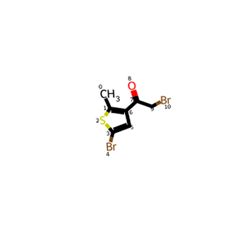 Cc1sc(Br)cc1C(=O)CBr